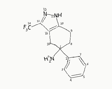 NC1(c2ccccc2)CCc2[nH]nc(C(F)(F)F)c2C1